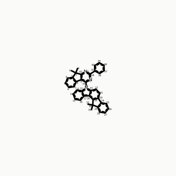 CC1(C)c2ccccc2-c2c(-n3c4ccccc4c4c5c(ccc43)-c3ccccc3C5(C)C)nc(-c3ccccc3)nc21